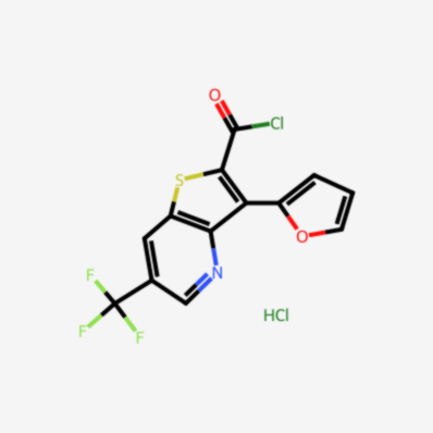 Cl.O=C(Cl)c1sc2cc(C(F)(F)F)cnc2c1-c1ccco1